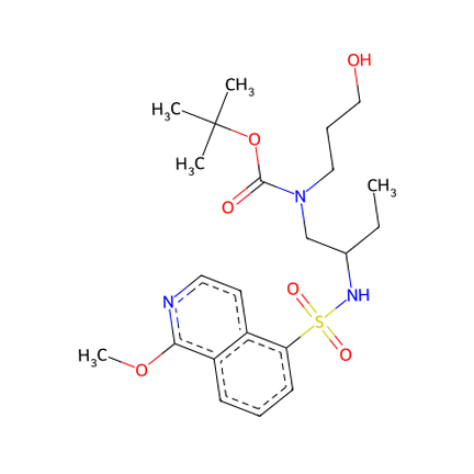 CCC(CN(CCCO)C(=O)OC(C)(C)C)NS(=O)(=O)c1cccc2c(OC)nccc12